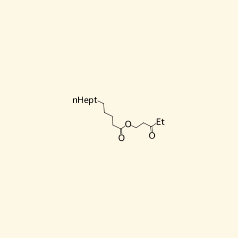 CCCCCCCCCCCC(=O)OCCC(=O)CC